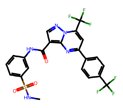 CNS(=O)(=O)c1cccc(NC(=O)c2cnn3c(C(F)(F)F)cc(-c4ccc(C(F)(F)F)cc4)nc23)c1